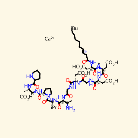 CCC(C)CCCCC/C=C/CC(=O)N[C@@H](CC(=O)O)C(=O)N(C)[C@@H](CC(=O)O)C(=O)N[C@@H](CC(=O)O)C(=O)NCC(=O)N[C@@H](CC(=O)O)C(=O)NCC(=O)N[C@@H](C(=O)N[C@H](C(=O)N1CCC[C@H]1C(=O)N[C@@H](C(=O)O)[C@H](C)NC(=O)C1CCCCN1)C(C)C)[C@@H](C)N.[Ca+2]